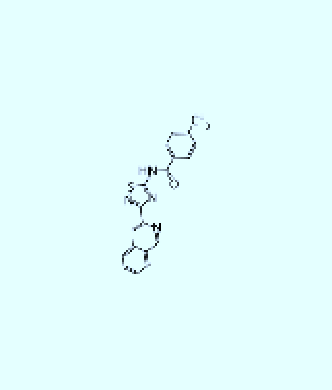 O=C(Nc1nc(-c2cc3ccccc3cn2)ns1)c1ccc(C(F)(F)F)cc1